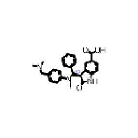 CN(C)Cc1ccc(N/C(=C2\C(=O)Nc3ccc(C(=O)O)cc32)c2ccccc2)cc1